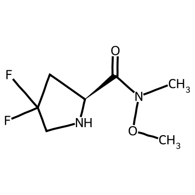 CON(C)C(=O)[C@@H]1CC(F)(F)CN1